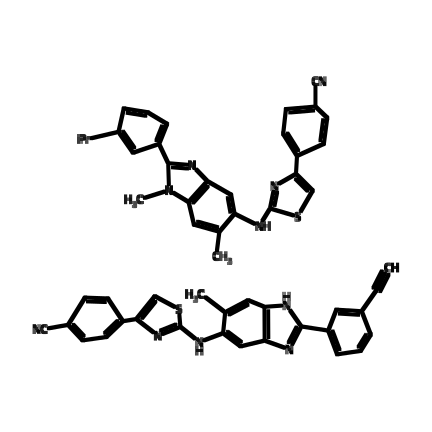 C#Cc1cccc(-c2nc3cc(Nc4nc(-c5ccc(C#N)cc5)cs4)c(C)cc3[nH]2)c1.Cc1cc2c(cc1Nc1nc(-c3ccc(C#N)cc3)cs1)nc(-c1cccc(C(C)C)c1)n2C